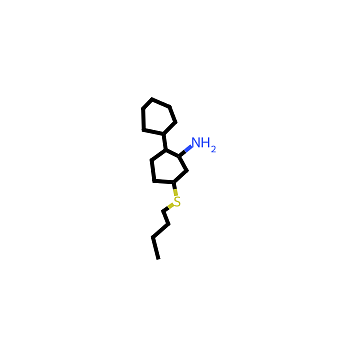 CCCCSC1CCC(C2CCCCC2)C(N)C1